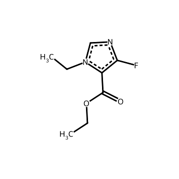 CCOC(=O)c1c(F)ncn1CC